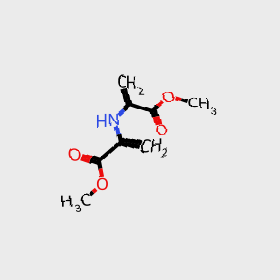 C=C(NC(=C)C(=O)OC)C(=O)OC